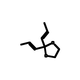 CC=CC1(C=CC)OCCO1